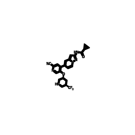 N#Cc1cc(-c2ccn3nc(NC(=O)C4CC4)cc3c2)c(O[C@@H]2CNC[C@H](C(F)(F)F)C2)cn1